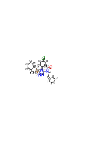 CCC(=O)N(CCc1ccccc1)c1nnc(SCc2ccccc2C)n1-c1ccc(Cl)cc1